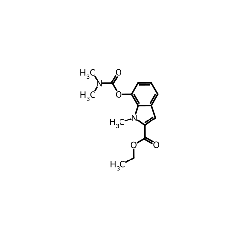 CCOC(=O)c1cc2cccc(OC(=O)N(C)C)c2n1C